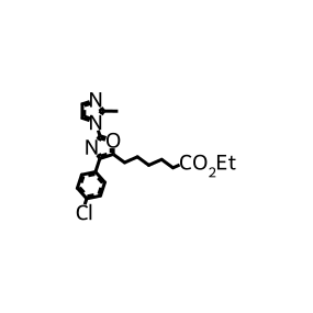 CCOC(=O)CCCCCc1oc(-n2ccnc2C)nc1-c1ccc(Cl)cc1